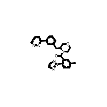 Cc1ccc(-n2nccn2)c(C(=O)N2CCOCC2Cc2cccc(-c3cccnn3)c2)c1